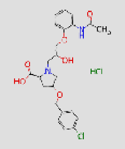 CC(=O)Nc1ccccc1OCC(O)CN1C[C@H](OCc2ccc(Cl)cc2)C[C@H]1C(=O)O.Cl